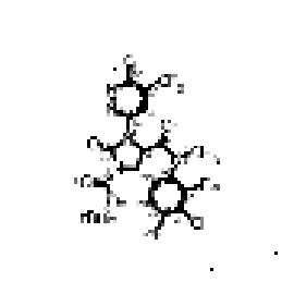 CN(C(=O)C1CN(C(=O)OC(C)(C)C)C(=O)N1c1cc(C(F)(F)F)c(Cl)nn1)c1ccc(F)c(Cl)c1F